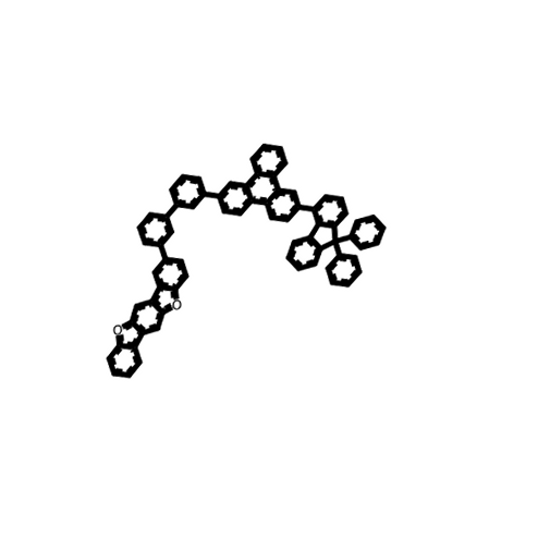 c1ccc(C2(c3ccccc3)c3ccccc3-c3c(-c4ccc5c6ccc(-c7cccc(-c8cccc(-c9ccc%10oc%11cc%12c(cc%11c%10c9)oc9ccccc9%12)c8)c7)cc6c6ccccc6c5c4)cccc32)cc1